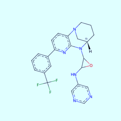 FC(F)(F)c1cccc(-c2ccc3c(n2)N(C2OC2Nc2cncnc2)[C@H]2CCCN3C2)c1